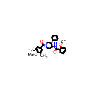 COc1c(C)cc(C(=O)N2CC[C@@H](NC(=O)c3ccccc3OC(F)(F)F)[C@@H](c3ccccc3)C2)cc1C